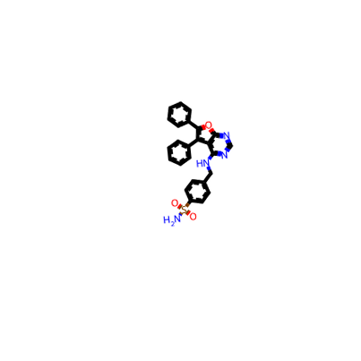 NS(=O)(=O)c1ccc(CNc2ncnc3oc(-c4ccccc4)c(-c4ccccc4)c23)cc1